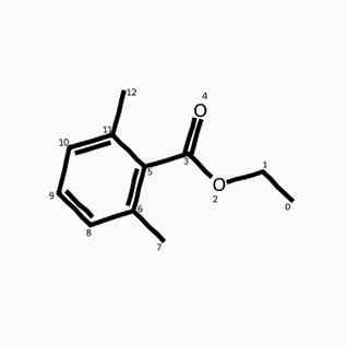 CCOC(=O)c1c(C)cccc1C